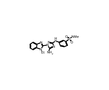 CCn1c(-n2nc(Nc3cccc(S(=O)(=O)NC)c3)nc2N)nc2ccccc21